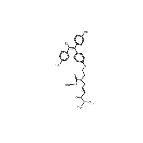 CC/C(=C(\c1ccc(O)cc1)c1ccc(OCCN(C/C=C/C(=O)N(C)C)C(=O)OC(C)(C)C)cc1)c1ccc(C(F)(F)F)cc1